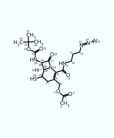 CC(=O)OCC1=C(C(=O)NCCCN=[N+]=[N-])N2C(=O)[C@H](NC(=O)OC(C)(C)C)[C@@H]2C(S)C1